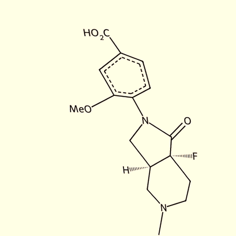 COc1cc(C(=O)O)ccc1N1C[C@@H]2CN(C)CC[C@]2(F)C1=O